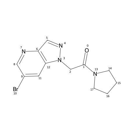 O=C(Cn1ncc2ncc(Br)cc21)N1CCCC1